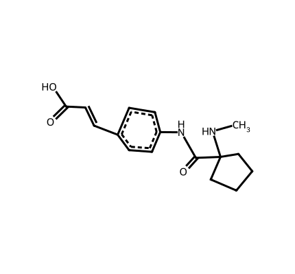 CNC1(C(=O)Nc2ccc(/C=C/C(=O)O)cc2)CCCC1